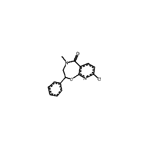 CN1CC(c2ccccc2)Oc2nc(Cl)ccc2C1=O